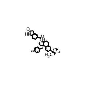 CC(F)(c1ccc2c(c1)CC[C@H]1N(C(=O)c3ccc4c(c3)CC(=O)N4)CC[C@@]21Cc1ccc(F)cc1)C(F)(F)F